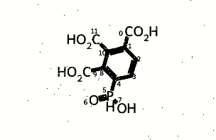 O=C(O)c1ccc([PH](=O)O)c(C(=O)O)c1C(=O)O